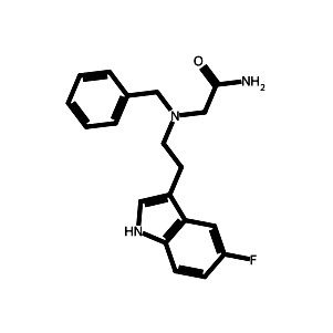 NC(=O)CN(CCc1c[nH]c2ccc(F)cc12)Cc1ccccc1